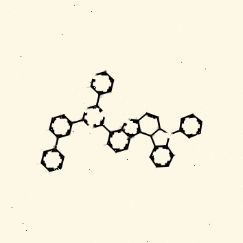 C1=CC2C(c3ccccc3N2c2ccccc2)c2c1oc1c(-c3nc(-c4cccnc4)nc(-c4cccc(-c5ccccc5)c4)n3)cccc21